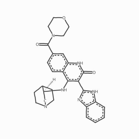 O=C(c1ccc2c(N[C@H]3CN4CCC3CC4)c(-c3nc4ccccc4[nH]3)c(=O)[nH]c2c1)N1CCOCC1